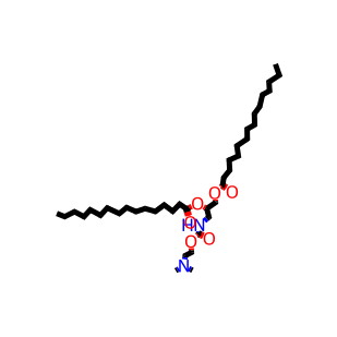 CCCCCCCCCCCCCCCC(=O)OCC(CNC(=O)OCCN(C)C)OC(=O)CCCCCCCCCCCCCCC